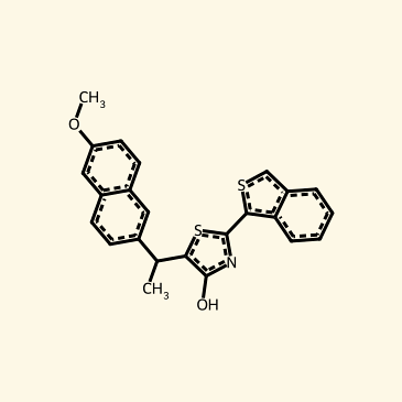 COc1ccc2cc(C(C)c3sc(-c4scc5ccccc45)nc3O)ccc2c1